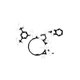 COC(=O)[C@@]12C[C@H]1/C=C\CCCCC[C@H](Nc1cc(C(F)(F)F)cc(C(F)(F)F)c1)C(=O)N1C[C@H](Oc3nc4ccccc4s3)C[C@H]1C(=O)N2